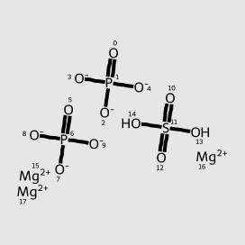 O=P([O-])([O-])[O-].O=P([O-])([O-])[O-].O=S(=O)(O)O.[Mg+2].[Mg+2].[Mg+2]